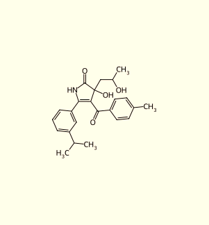 Cc1ccc(C(=O)C2=C(c3cccc(C(C)C)c3)NC(=O)C2(O)CC(C)O)cc1